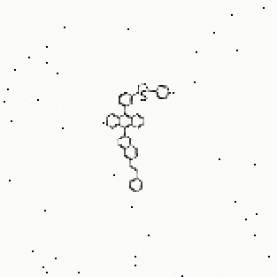 C1=C(c2cccc(-c3c4ccccc4c(-c4ccc5cc(/C=C/c6ccccc6)ccc5c4)c4ccccc34)c2)SC(c2ccccc2)C1